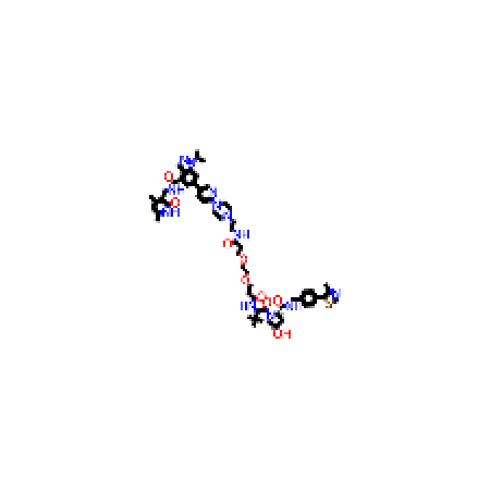 Cc1cc(C)c(CNC(=O)c2cc(-c3ccc(N4CCN(CCNC(=O)CCOCCOCCC(=O)NC(C(=O)N5C[C@H](O)C[C@H]5C(=O)NCc5ccc(-c6scnc6C)cc5)C(C)(C)C)CC4)nc3)cc3c2cnn3C(C)C)c(=O)[nH]1